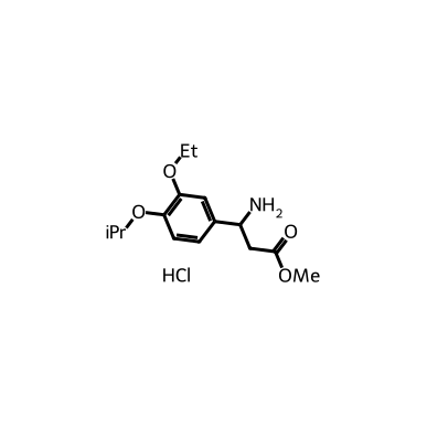 CCOc1cc(C(N)CC(=O)OC)ccc1OC(C)C.Cl